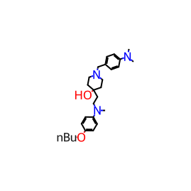 CCCCOc1ccc(N(C)CCC2(O)CCN(Cc3ccc(N(C)C)cc3)CC2)cc1